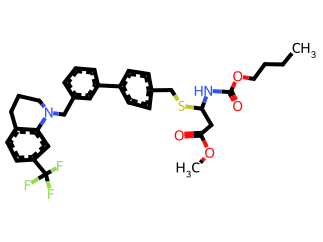 CCCCOC(=O)NC(CC(=O)OC)SCc1ccc(-c2cccc(CN3CCCc4ccc(C(F)(F)F)cc43)c2)cc1